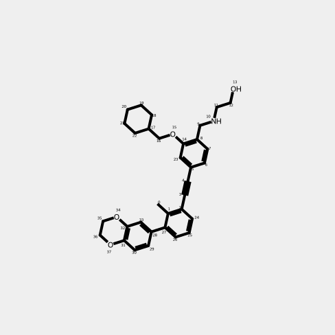 Cc1c(C#Cc2ccc(CNCCO)c(OCC3CCCCC3)c2)cccc1-c1ccc2c(c1)OCCO2